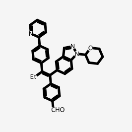 CCC(=C(c1ccc(C=O)cc1)c1ccc2c(cnn2C2CCCCO2)c1)c1ccc(-c2ccccn2)cc1